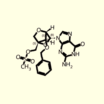 CS(=O)(=O)OC[C@]12CO[C@H]([C@H](n3cnc4c(=O)[nH]c(N)nc43)O1)[C@H]2OCc1ccccc1